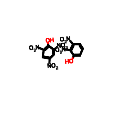 O=[N+]([O-])c1cc([N+](=O)[O-])c(O)c([N+](=O)[O-])c1.O=[N+]([O-])c1cccc(O)c1[N+](=O)[O-]